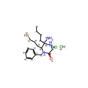 CCCC[C@]1(N)NCC(=O)N(Cc2ccccc2)C1CCCS.Cl.Cl